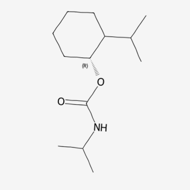 CC(C)NC(=O)O[C@@H]1CCCCC1C(C)C